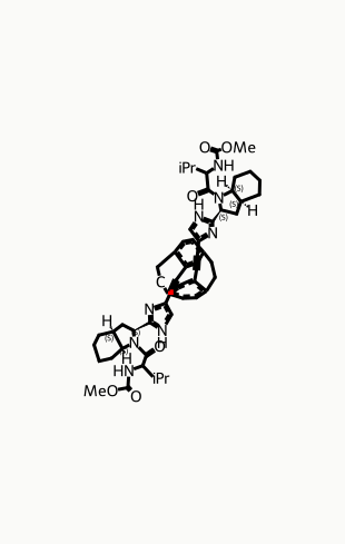 COC(=O)NC(C(=O)N1[C@H](c2nc(C#Cc3cc4ccc3CCc3ccc(c(C#Cc5c[nH]c([C@@H]6C[C@@H]7CCCC[C@@H]7N6C(=O)C(NC(=O)OC)C(C)C)n5)c3)CC4)c[nH]2)C[C@@H]2CCCC[C@@H]21)C(C)C